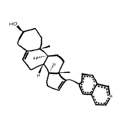 C[C@]12CC[C@H](O)CC1=CC[C@@H]1[C@@H]2CC[C@]2(C)C(c3ccc4cnccc4c3)=CC[C@@H]12